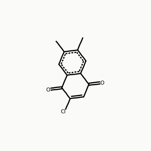 Cc1cc2c(cc1C)C(=O)C(Cl)=CC2=O